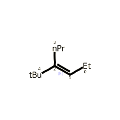 CC/C=C(\CCC)C(C)(C)C